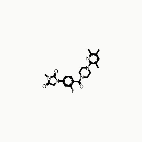 Cc1cc(C)c(N2CCN(C(=O)c3ccc(N4CC(=O)N(C)C4=O)cc3F)CC2)nc1C